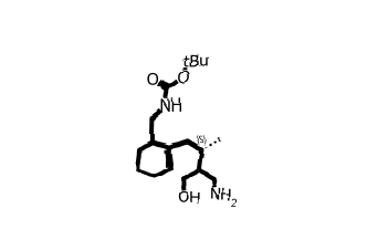 C[C@@H](CC1=CCCCC1CNC(=O)OC(C)(C)C)C(CN)CO